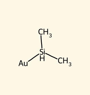 C[SiH](C)[Au]